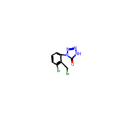 O=c1[nH]nnn1-c1cccc(Br)c1CBr